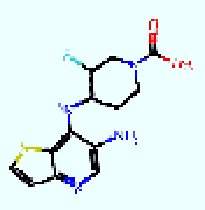 Nc1cnc2ccsc2c1NC1CCN(C(=O)O)CC1F